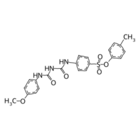 COc1ccc(NC(=O)NC(=O)Nc2ccc(S(=O)(=O)Oc3ccc(C)cc3)cc2)cc1